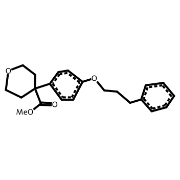 COC(=O)C1(c2ccc(OCCCc3ccccc3)cc2)CCOCC1